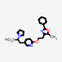 Cc1oc(-c2ccccc2)nc1CCOc1ccc(CC(C(=O)O)n2cccc2)cn1